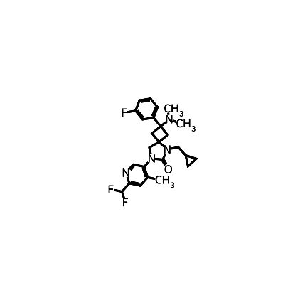 Cc1cc(C(F)F)ncc1N1CC2(CC(c3cccc(F)c3)(N(C)C)C2)N(CC2CC2)C1=O